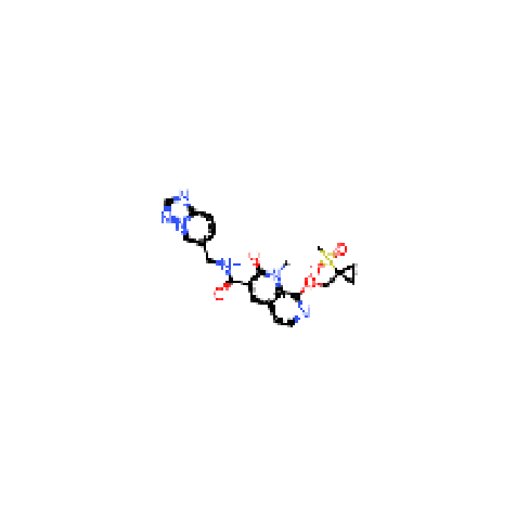 Cn1c(=O)c(C(=O)NCc2ccc3ncnn3c2)cc2ccnc(OCC3(S(C)(=O)=O)CC3)c21